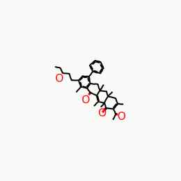 CCC(=O)CCc1cc(-c2ccccc2)c2c(c1C)C(=O)C1=C(C)C3(C)C(=O)C(C(C)=O)=C(C)CC3(C)CC1(C)C2